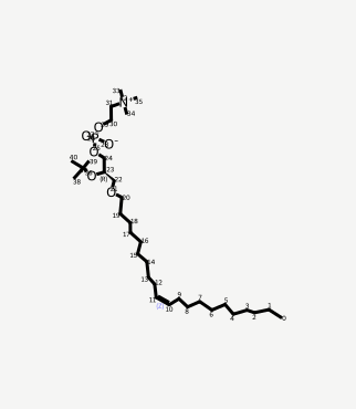 CCCCCCCCCC/C=C\CCCCCCCCCOC[C@H](COP(=O)([O-])OCC[N+](C)(C)C)OC(C)(C)C